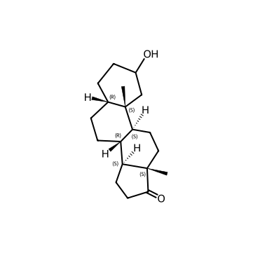 C[C@]12CC(O)CC[C@H]1CC[C@@H]1[C@@H]2CC[C@]2(C)C(=O)CC[C@@H]12